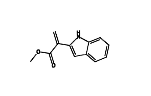 C=C(C(=O)OC)c1cc2ccccc2[nH]1